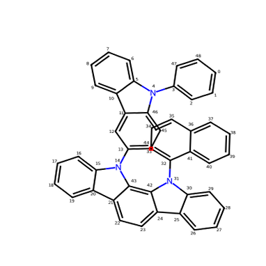 c1ccc(-n2c3ccccc3c3cc(-n4c5ccccc5c5ccc6c7ccccc7n(-c7cccc8ccccc78)c6c54)ccc32)cc1